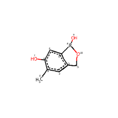 Cc1cc2c(cc1O)B(O)OC2